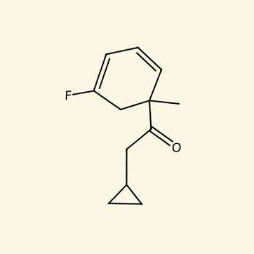 CC1(C(=O)CC2CC2)C=CC=C(F)C1